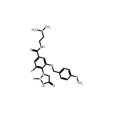 COc1ccc(COc2cc(C(=O)NCCN(C)C)cc(F)c2N2CC(=O)N[S+]2[O-])cc1